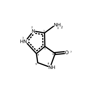 Nc1n[nH]c2c1C(=O)NC2